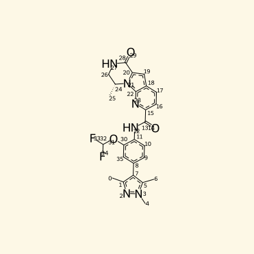 Cc1nn(C)c(C)c1-c1ccc(NC(=O)c2ccc3cc4n(c3n2)[C@H](C)CNC4=O)c(OC(F)F)c1